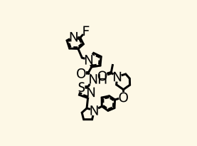 CC(=O)N1CCCC(Oc2ccc(N3CCCC3c3csc(NC(=O)c4cccn4Cc4ccnc(F)c4)n3)cc2)C1